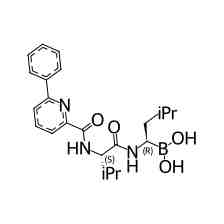 CC(C)C[C@H](NC(=O)[C@@H](NC(=O)c1cccc(-c2ccccc2)n1)C(C)C)B(O)O